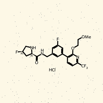 COCCOc1nc(C(F)(F)F)ccc1-c1cc(F)cc(CNC(=O)[C@H]2C[C@@H](F)CN2)c1.Cl